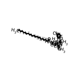 CCC=CCC=CCC=CCC=CCC=CCC=CCCC(=O)NCC(=O)OC(C)C(NC(=O)C(C)(C)Oc1ccc(Cl)cc1)C(=O)OC